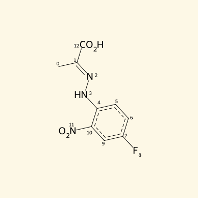 CC(=NNc1ccc(F)cc1[N+](=O)[O-])C(=O)O